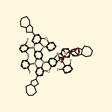 Fc1cccc(F)c1N1c2cc3c(cc2B2c4ccccc4Oc4cc(C5CC6CCCCCC6C5)cc1c42)B1c2cc4c(cc2Oc2cc(C5CC6CCCCCC6C5)cc(c21)N3c1c(F)cccc1F)N(c1c(F)cccc1F)c1cc(C2CC3CCCCCC3C2)cc2c1B4c1ccccc1N2c1ccccc1